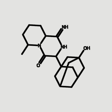 CC1CCCC2C(=N)NC(C34CC5CC(CC(O)(C5)C3)C4)C(=O)N12